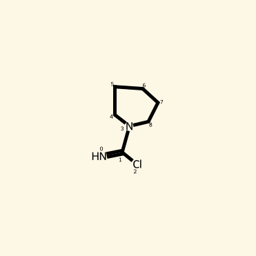 N=C(Cl)N1CCCCC1